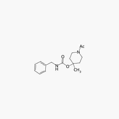 CC(=O)N1CCC(C)(OC(=O)NCc2ccccc2)CC1